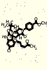 C=C(Cl)/C=C\C=C(/F)[C@H]1[C@@H]2C(=O)N(c3ccc(C(=O)OC)cc3)C[C@@H]2N(CC(C)(C)C)[C@@]12C(=O)Nc1cc(Cl)ccc12